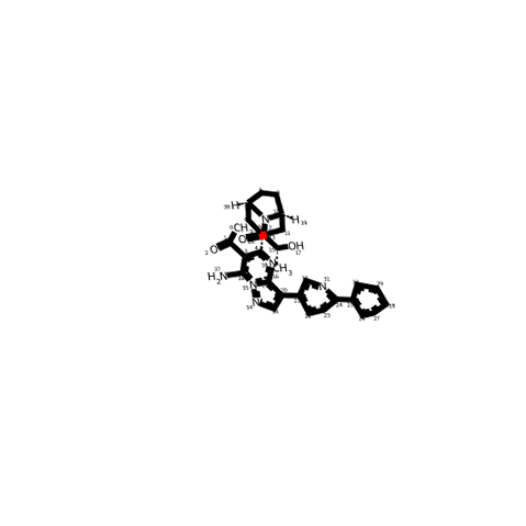 CC(=O)c1c([C@@H]2C[C@H]3CC[C@@H](C2)N3C(=O)[C@@H](C)O)nc2c(-c3ccc(-c4ccccc4)nc3)cnn2c1N